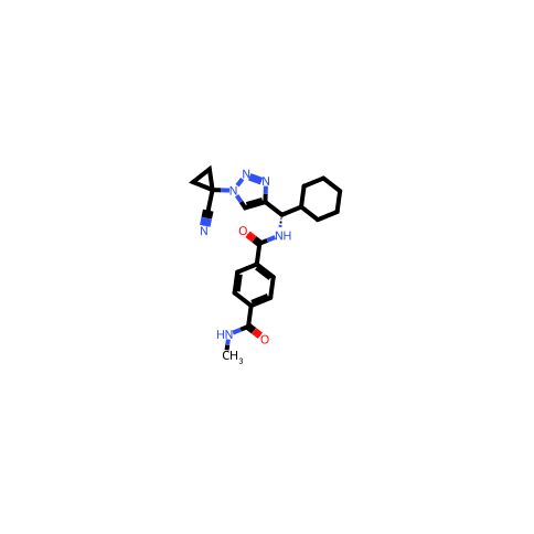 CNC(=O)c1ccc(C(=O)N[C@H](c2cn(C3(C#N)CC3)nn2)C2CCCCC2)cc1